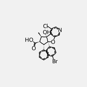 C[C@@H]1[C@H](C(=O)O)[C@@H](c2ccccc2)[C@]2(c3ccc(Br)cc3)Oc3cncc(Cl)c3[C@]12O